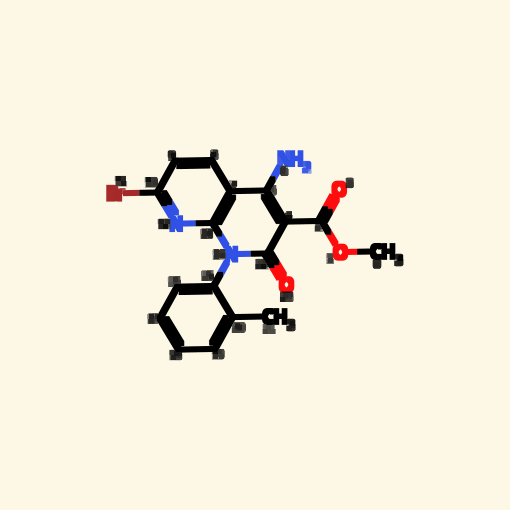 COC(=O)c1c(N)c2ccc(Br)nc2n(-c2ccccc2C)c1=O